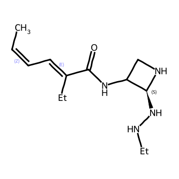 C/C=C\C=C(/CC)C(=O)NC1CN[C@H]1NNCC